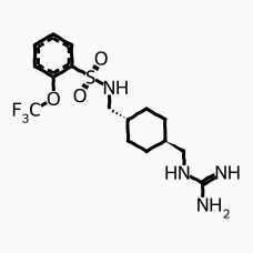 N=C(N)NC[C@H]1CC[C@H](CNS(=O)(=O)c2ccccc2OC(F)(F)F)CC1